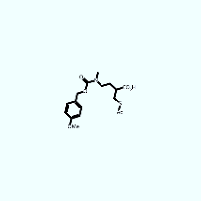 COc1ccc(COC(=O)N(C)CCC(CSC(C)=O)C(=O)O)cc1